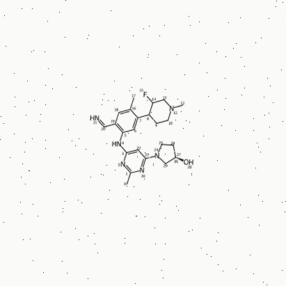 Cc1nc(Nc2cc(C3CCN(C)CC3F)c(C)cc2C=N)cc(N2CC[C@@H](O)C2)n1